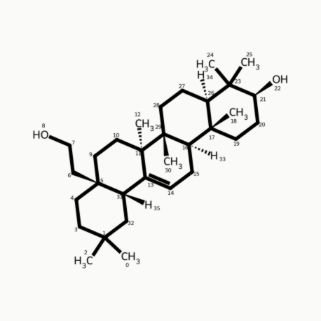 CC1(C)CC[C@]2(CCO)CC[C@]3(C)C(=CC[C@@H]4[C@@]5(C)CC[C@H](O)C(C)(C)[C@@H]5CC[C@]43C)[C@@H]2C1